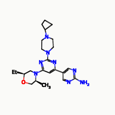 CC[C@H]1CN(c2cc(-c3cnc(N)nc3)nc(N3CCN(C4CCC4)CC3)n2)[C@@H](C)CO1